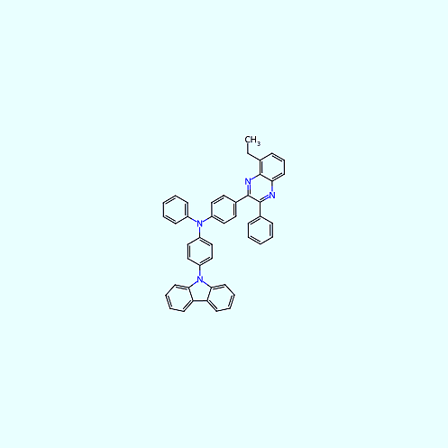 CCc1cccc2nc(-c3ccccc3)c(-c3ccc(N(c4ccccc4)c4ccc(-n5c6ccccc6c6ccccc65)cc4)cc3)nc12